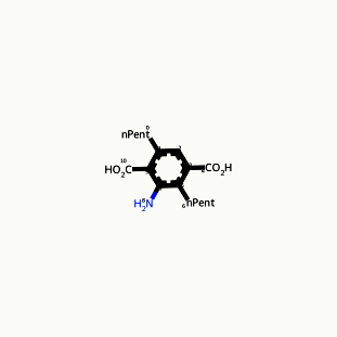 CCCCCc1cc(C(=O)O)c(CCCCC)c(N)c1C(=O)O